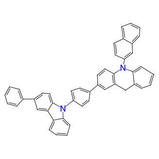 c1ccc(-c2ccc3c(c2)c2ccccc2n3-c2ccc(-c3ccc4c(c3)Cc3ccccc3N4c3ccc4ccccc4c3)cc2)cc1